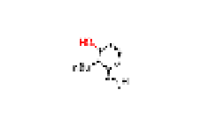 CCCCc1c(O)cccc1C(=O)O